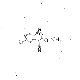 CCOC(=O)C(C#N)c1cc(Cl)ccc1C#N